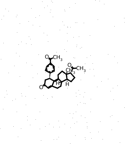 CC(=O)c1ccc([C@@H]2CC(=O)C=C3CC[C@@H]4C(=C32)CC[C@]2(C)[C@@H](C(C)=O)CC[C@@H]42)cc1